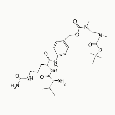 CC(C)[C@H](N)C(=O)N[C@@H](CCCNC(N)=O)C(=O)Nc1ccc(COC(=O)N(C)CCN(C)C(=O)OC(C)(C)C)cc1